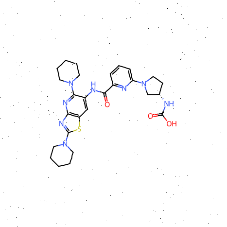 O=C(O)N[C@H]1CCN(c2cccc(C(=O)Nc3cc4sc(N5CCCCC5)nc4nc3N3CCCCC3)n2)C1